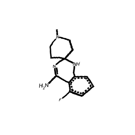 CN1CCC2(CC1)N=C(N)c1c(F)cccc1N2